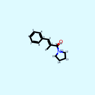 C/C(=C\c1ccccc1)C(=O)N1CCCC1